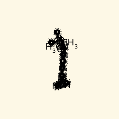 CC[C@@H]([C@H](C)OP(=O)(OCc1ccccc1)OCc1ccccc1)n1ncn(-c2ccc(N3CCN(c4ccc(-c5ccc(C(F)(F)C(O)(Cn6cnnn6)c6ccccc6F)nc5)cc4)CC3)cc2)c1=O